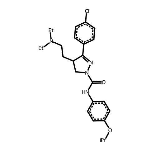 CCN(CC)CCC1CN(C(=O)Nc2ccc(OC(C)C)cc2)N=C1c1ccc(Cl)cc1